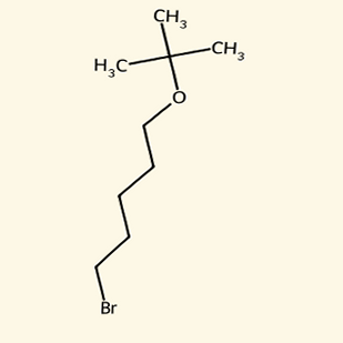 CC(C)(C)OCCCCCBr